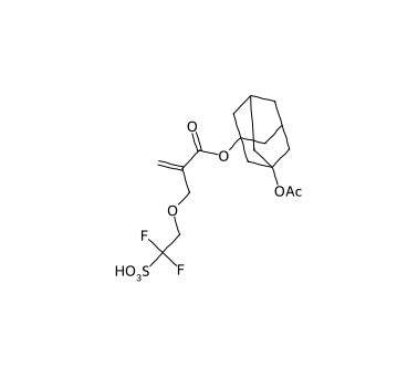 C=C(COCC(F)(F)S(=O)(=O)O)C(=O)OC12CC3CC(CC(OC(C)=O)(C3)C1)C2